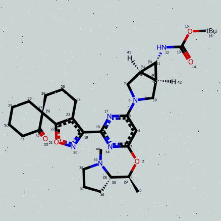 C[C@H](Oc1cc(N2C[C@@H]3[C@H](C2)[C@H]3NC(=O)OC(C)(C)C)nc(-c2noc3c2CCC[C@@]32CCCCC2=O)n1)[C@@H]1CCCN1C